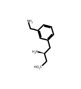 NCc1cccc(C[C@H](N)CC(=O)O)c1